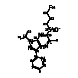 Cc1nc2c(-c3ccccn3)nn(C(C)C)c2nc1[S+]([O-])CCCF